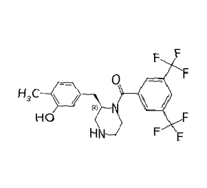 Cc1ccc(C[C@@H]2CNCCN2C(=O)c2cc(C(F)(F)F)cc(C(F)(F)F)c2)cc1O